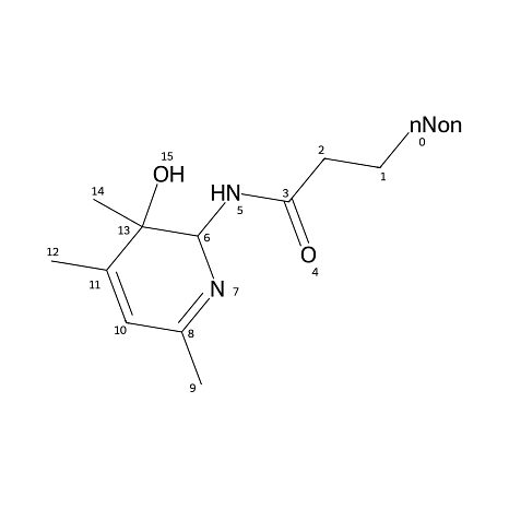 CCCCCCCCCCCC(=O)NC1N=C(C)C=C(C)C1(C)O